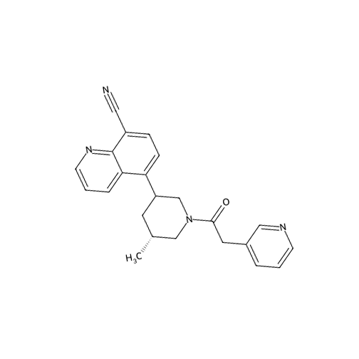 C[C@@H]1CC(c2ccc(C#N)c3ncccc23)CN(C(=O)Cc2cccnc2)C1